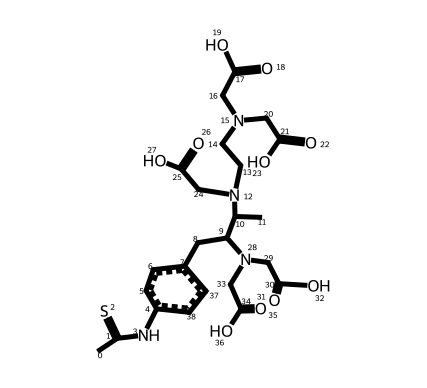 CC(=S)Nc1ccc(CC(C(C)N(CCN(CC(=O)O)CC(=O)O)CC(=O)O)N(CC(=O)O)CC(=O)O)cc1